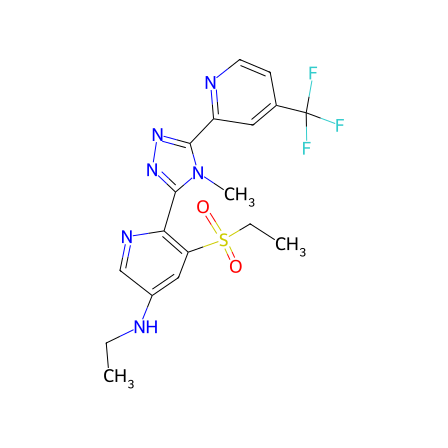 CCNc1cnc(-c2nnc(-c3cc(C(F)(F)F)ccn3)n2C)c(S(=O)(=O)CC)c1